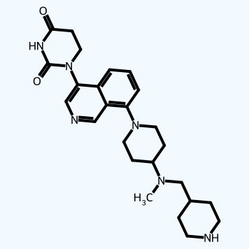 CN(CC1CCNCC1)C1CCN(c2cccc3c(N4CCC(=O)NC4=O)cncc23)CC1